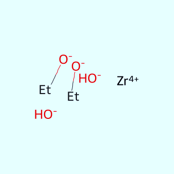 CC[O-].CC[O-].[OH-].[OH-].[Zr+4]